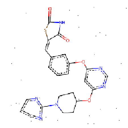 O=C1NC(=O)/C(=C\c2cccc(Oc3cc(OC4CCN(c5ncccn5)CC4)ncn3)c2)S1